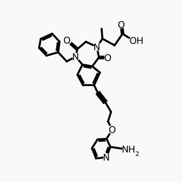 CC(CC(=O)O)N1CC(=O)N(Cc2ccccc2)c2ccc(C#CCCOc3cccnc3N)cc2C1=O